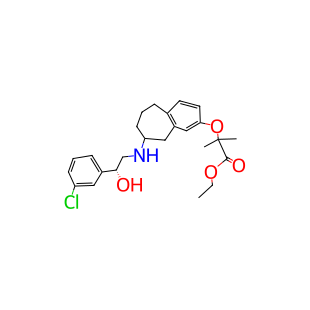 CCOC(=O)C(C)(C)Oc1ccc2c(c1)CC(NC[C@H](O)c1cccc(Cl)c1)CCC2